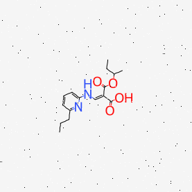 CCCc1cccc(NC=C(C(=O)O)C(=O)OC(C)CC)n1